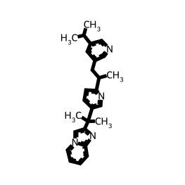 CC(C)c1cncc(CC(C)c2ccc(C(C)(C)c3cn4ccccc4n3)cn2)c1